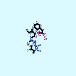 C=NN(C)C(C)[C@@H](C)[C@H](C)/N=N\N(C)CCC(Nc1ccccc1CC(=O)OC)/C(C)=C/C